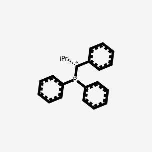 CC(C)[C@H](c1ccccc1)P(c1ccccc1)c1ccccc1